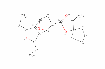 CCC1OC(CC)C2C3OC(CC3C(=O)OC3(CC)CCCC3)C12